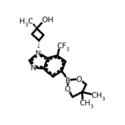 CC1(C)COB(c2cc(C(F)(F)F)c3c(c2)ncn3[C@H]2C[C@@](C)(O)C2)OC1